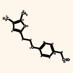 Cc1nc(CCOc2ccc(C[C]=O)cc2)oc1C